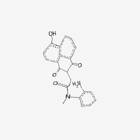 CN(C(=O)CC1C(=O)c2cccc3c(O)ccc(c23)C1=O)c1ccccc1N